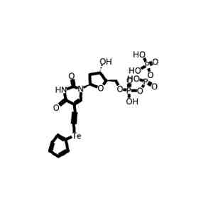 O=c1[nH]c(=O)n([C@H]2C[C@H](O)[C@@H](COP(=O)(O)OP(=O)(O)OP(=O)(O)O)O2)cc1C#C[Te]c1ccccc1